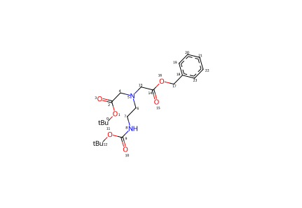 CC(C)(C)OC(=O)CN(CCNC(=O)OC(C)(C)C)CC(=O)OCc1ccccc1